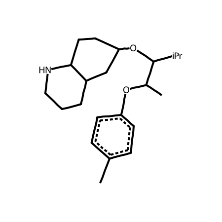 Cc1ccc(OC(C)C(OC2CCC3NCCCC3C2)C(C)C)cc1